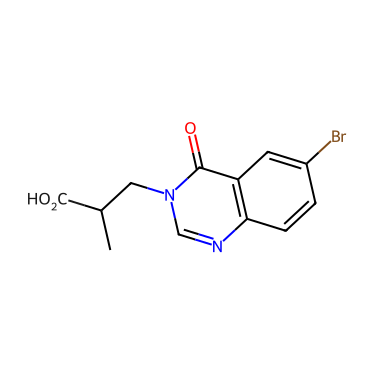 CC(Cn1cnc2ccc(Br)cc2c1=O)C(=O)O